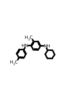 Cc1ccc(Nc2ccc(NC3CCCCC3)cc2C)cc1